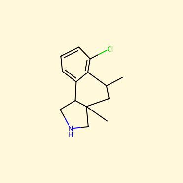 CC1CC2(C)CNCC2c2cccc(Cl)c21